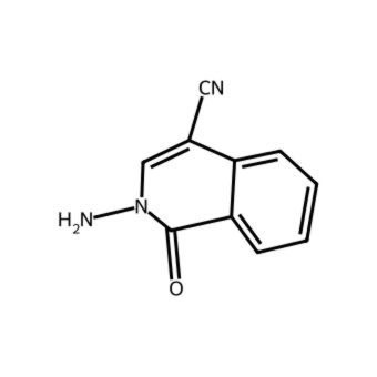 N#Cc1cn(N)c(=O)c2ccccc12